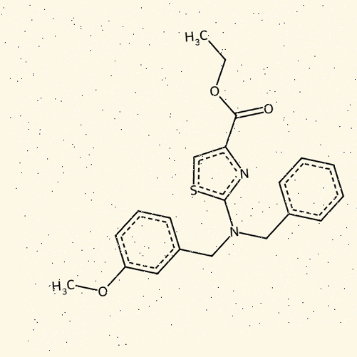 CCOC(=O)c1csc(N(Cc2ccccc2)Cc2cccc(OC)c2)n1